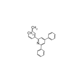 C=C/C=C(\C=C/C)c1cc(-c2ccccc2)cc(-c2ccccc2)n1